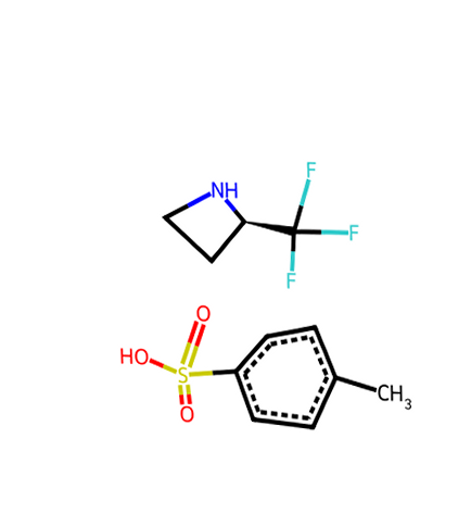 Cc1ccc(S(=O)(=O)O)cc1.FC(F)(F)[C@H]1CCN1